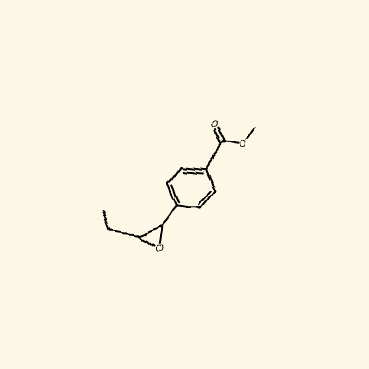 CCC1OC1c1ccc(C(=O)OC)cc1